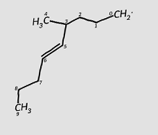 [CH2]CCC(C)C=CCCC